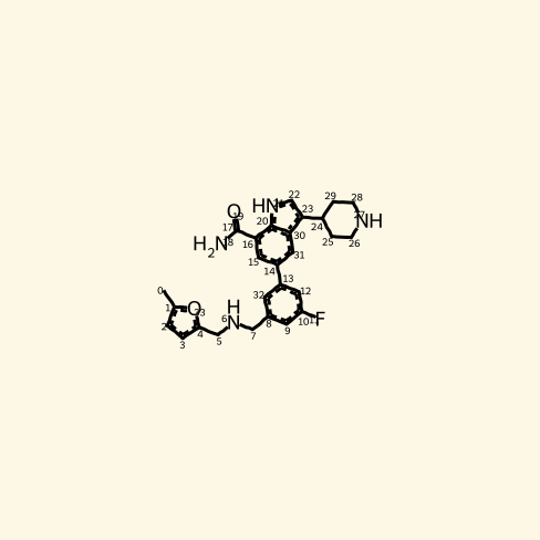 Cc1ccc(CNCc2cc(F)cc(-c3cc(C(N)=O)c4[nH]cc(C5CCNCC5)c4c3)c2)o1